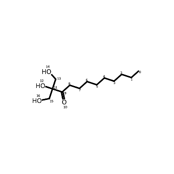 CCCCCCCCCC(=O)C(O)(CO)CO